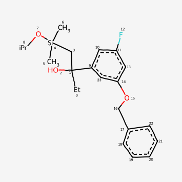 CCC(O)(C[Si](C)(C)OC(C)C)c1cc(F)cc(OCc2ccccc2)c1